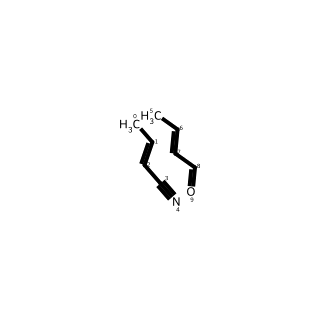 CC=CC#N.CC=CC=O